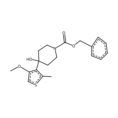 COc1csc(C)c1C1(O)CCN(C(=O)OCc2ccccc2)CC1